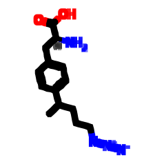 CC(CCCN=[N+]=[N-])c1ccc(C[C@H](N)C(=O)O)cc1